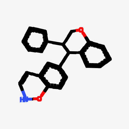 C1=Cc2cc(C3c4ccccc4OCC3c3ccccc3)ccc2ON1